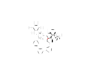 [2H]c1c([2H])c([2H])c(-c2nc(-c3cccc(-c4cccc5c4Cc4c(-c6ccc7c(c6)C(C([2H])([2H])[2H])(C([2H])([2H])[2H])c6ccccc6-7)cccc4-5)c3)nc(-c3c([2H])c([2H])c([2H])c(C)c3[2H])n2)c([2H])c1[2H]